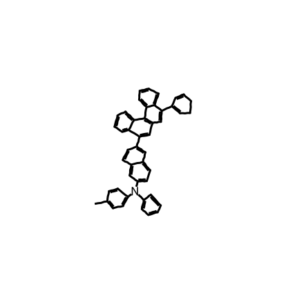 Cc1ccc(N(c2ccccc2)c2ccc3cc(-c4cc5cc(C6=CCCC=C6)c6ccccc6c5c5ccccc45)ccc3c2)cc1